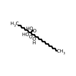 CCCCCCCCCCCCCC(O)CC(=O)C(C(=O)O)C(O)CCCCCCC